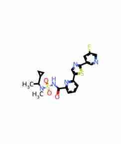 CC(C1CC1)N(C)S(=O)(=O)NC(=O)c1cccc(-c2cnc(-c3cncc(F)c3)s2)n1